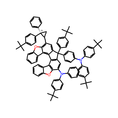 CC(C)(C)c1ccc(N(c2ccc(C(C)(C)C)cc2)c2ccc(C3(c4ccc(C(C)(C)C)cc4)c4cc(C5C[C@]5(c5ccccc5)c5ccc(C(C)(C)C)cc5)c5oc6ccccc6c5c4-c4c3cc(N(c3ccccc3)c3ccc(C(C)(C)C)cc3)c3oc5ccccc5c43)cc2)cc1